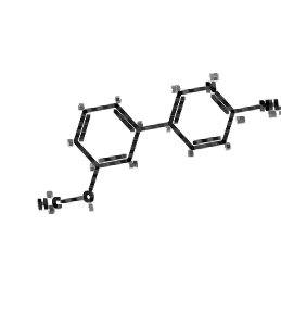 COc1cccc(-c2ccc(N)nc2)c1